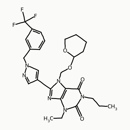 CCCn1c(=O)c2c(nc(-c3cnn(Cc4cccc(C(F)(F)F)c4)c3)n2COC2CCCCO2)n(CC)c1=O